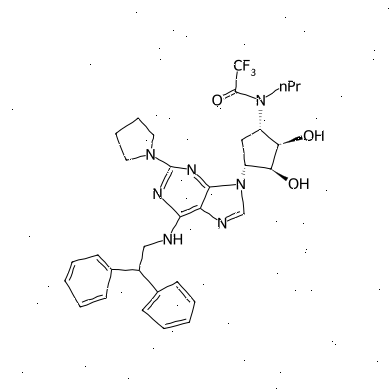 CCCN(C(=O)C(F)(F)F)[C@H]1C[C@@H](n2cnc3c(NCC(c4ccccc4)c4ccccc4)nc(N4CCCC4)nc32)[C@H](O)[C@@H]1O